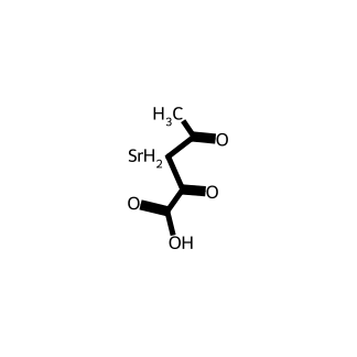 CC(=O)CC(=O)C(=O)O.[SrH2]